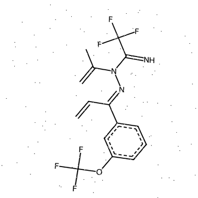 C=C/C(=N\N(C(=C)C)C(=N)C(F)(F)F)c1cccc(OC(F)(F)F)c1